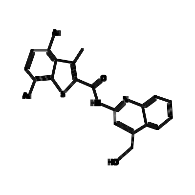 CC(=O)c1ccc(C(C)=O)c2c(C)c(C(=O)Nc3cc(CO)c4ccccc4n3)sc12